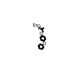 CCON=C(C)COc1ccc(Oc2ccccc2)cc1